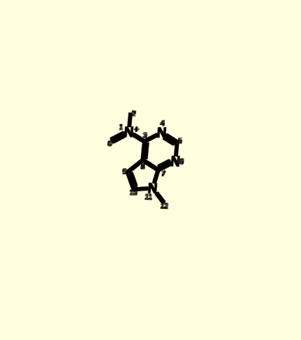 C=[N+](C)c1ncnc2c1ccn2C